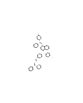 Cc1ccc(C(=Cc2ccc(N(c3ccc(/C=C/C=C(c4ccccc4)c4ccccc4)cc3)c3ccc(CO)cc3)c3ccccc23)c2ccc(C)cc2)cc1